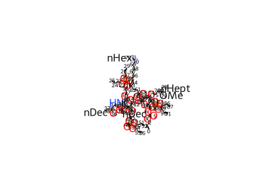 C=CCOC(=O)OC[C@H]1O[C@@H](OC[C@H]2O[C@H](OCCOP(=O)(OCC=C)OCC=C)[C@@H](NC(=O)CC(=O)CCCCCCCCCCC)[C@@H](OCCCCCCCCCC)[C@@H]2OCCOP(=O)(OCC=C)OCC=C)[C@H](OC(=O)CCCCCCCCC/C=C\CCCCCC)[C@@H](OCC[C@H](CCCCCCC)OC)[C@@H]1OP(=O)(OCC=C)OCC=C